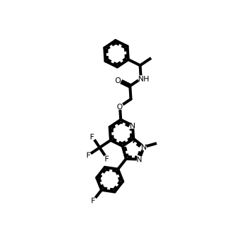 CC(NC(=O)COc1cc(C(F)(F)F)c2c(-c3ccc(F)cc3)nn(C)c2n1)c1ccccc1